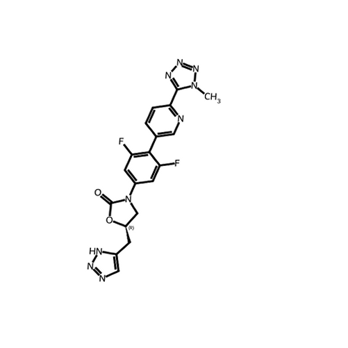 Cn1nnnc1-c1ccc(-c2c(F)cc(N3C[C@@H](Cc4cnn[nH]4)OC3=O)cc2F)cn1